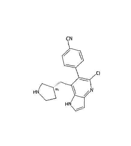 N#Cc1ccc(-c2c(Cl)nc3cc[nH]c3c2C[C@@H]2CCNC2)cc1